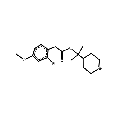 COc1ccc(CC(=O)OC(C)(C)C2CCNCC2)c(Br)c1